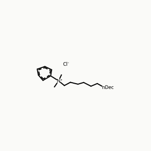 CCCCCCCCCCCCCCCC[N+](C)(C)c1ccccc1.[Cl-]